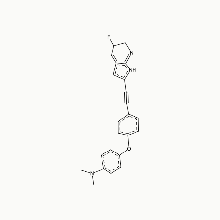 CN(C)c1ccc(Oc2ccc(C#Cc3cc4c([nH]3)=NCC(F)C=4)cc2)cc1